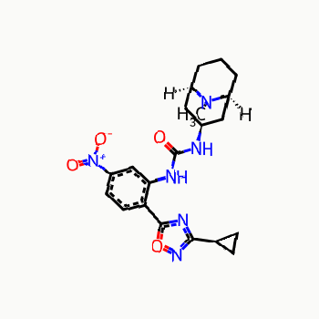 CN1[C@@H]2CCC[C@H]1C[C@@H](NC(=O)Nc1cc([N+](=O)[O-])ccc1-c1nc(C3CC3)no1)C2